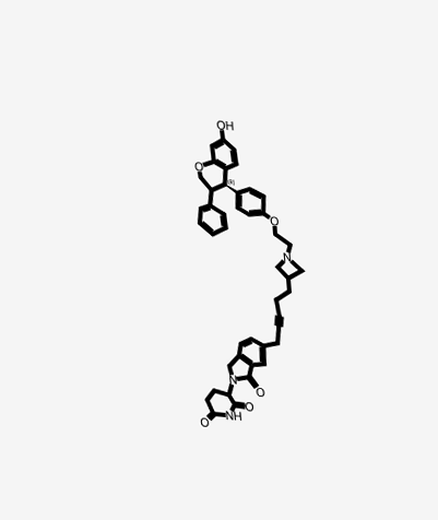 O=C1CCC(N2Cc3ccc(CC#CCCC4CN(CCOc5ccc([C@@H]6c7ccc(O)cc7OCC6c6ccccc6)cc5)C4)cc3C2=O)C(=O)N1